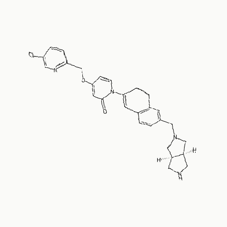 O=c1cc(OCc2ccc(Cl)cn2)ccn1C1=Cc2ccc(CN3C[C@H]4CNC[C@H]4C3)cc2CC1